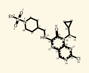 CCS(=O)(=O)N1CCC(CNc2nc3cnc(Cl)nc3n([C@H](C)C3CC3)c2=O)CC1